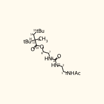 CC(=O)NCCNC(=O)NCCOC(=O)C(C)(CC(C)(C)C)C(C)(C)C